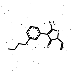 C=CC1SC(N)=C(c2cccc(CCCC)c2)C1=O